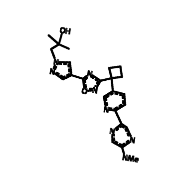 CNc1cnc(-c2ccc(C3(c4noc(-c5cnn(CC(C)(C)O)c5)n4)CCC3)cn2)cn1